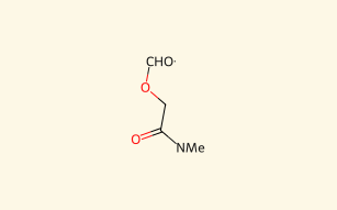 CNC(=O)CO[C]=O